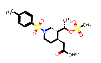 COC(=O)C[C@H]1CCN(S(=O)(=O)c2ccc(C)cc2)C[C@@H]1[C@H](C)OS(C)(=O)=O